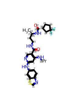 CC(C)Nc1cc(Nc2ccc3ncsc3c2)ncc1C(=O)NCC[C@@H](C)NC(=O)[C@@H]1CCC(F)(F)C1